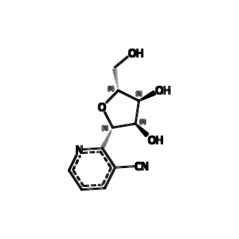 N#Cc1cccnc1[C@@H]1O[C@H](CO)[C@@H](O)[C@H]1O